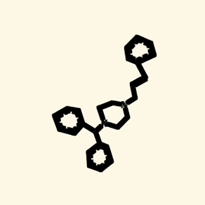 C(=Cc1ccccc1)CN1CCN(C(c2ccccc2)c2ccccc2)CC1